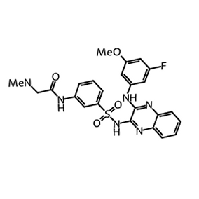 CNCC(=O)Nc1cccc(S(=O)(=O)Nc2nc3ccccc3nc2Nc2cc(F)cc(OC)c2)c1